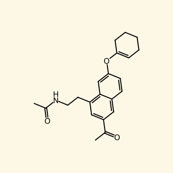 CC(=O)NCCc1cc(C(C)=O)cc2ccc(OC3=CCCCC3)cc12